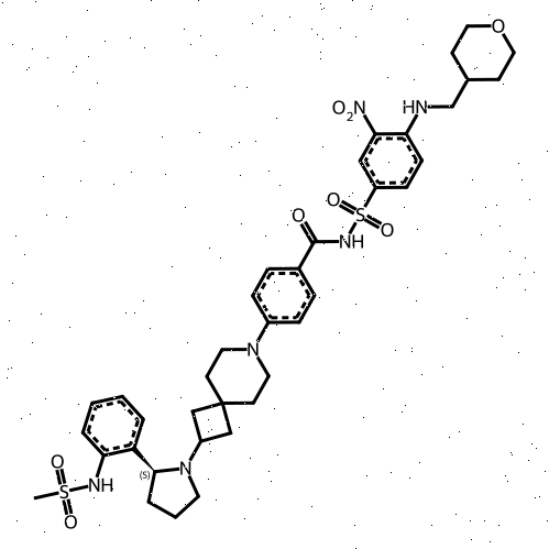 CS(=O)(=O)Nc1ccccc1[C@@H]1CCCN1C1CC2(CCN(c3ccc(C(=O)NS(=O)(=O)c4ccc(NCC5CCOCC5)c([N+](=O)[O-])c4)cc3)CC2)C1